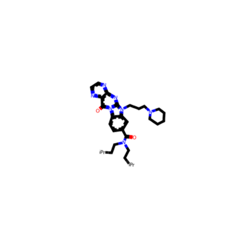 CC(C)CCN(CCC(C)C)C(=O)c1ccc2c(c1)n(CCCN1CCCCC1)c1nc3nccnc3c(=O)n21